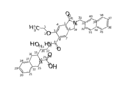 CCOc1cc2c(cc1C(=O)NC[C@@H](O)C1Cc3ccccc3CN1C(=O)O)CN(Cc1ccc3ccccc3c1)C2=O